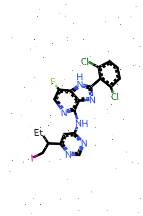 CCC(CI)c1cc(Nc2ncc(F)c3[nH]c(-c4c(Cl)cccc4Cl)nc23)ncn1